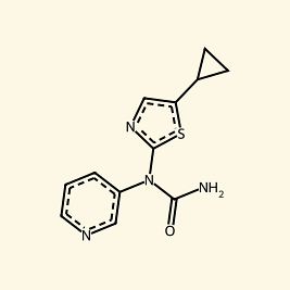 NC(=O)N(c1cccnc1)c1ncc(C2CC2)s1